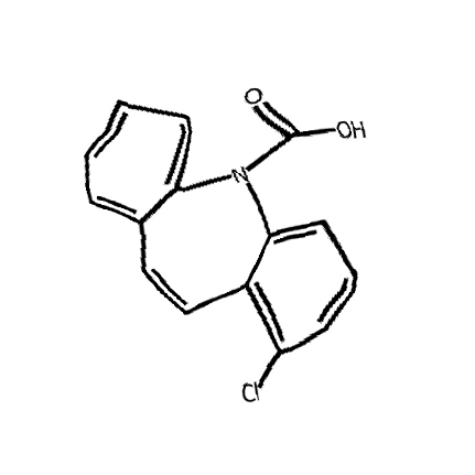 O=C(O)N1c2ccccc2C=Cc2c(Cl)cccc21